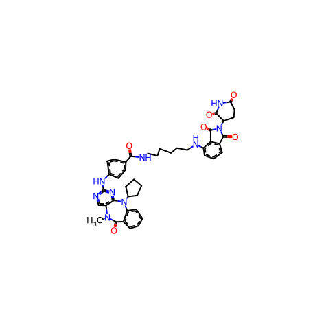 CN1C(=O)c2ccccc2N(C2CCCC2)c2nc(Nc3ccc(C(=O)NCCCCCCNc4cccc5c4C(=O)N(C4CCC(=O)NC4=O)C5=O)cc3)ncc21